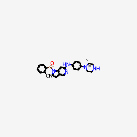 C[C@@H]1CNCCN1c1ccc(Nc2cc3c(ccn3[S+]([O-])c3ccccc3C#N)cn2)cc1